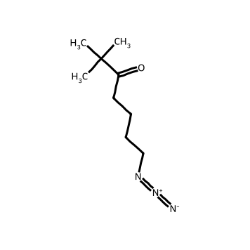 CC(C)(C)C(=O)CCCCN=[N+]=[N-]